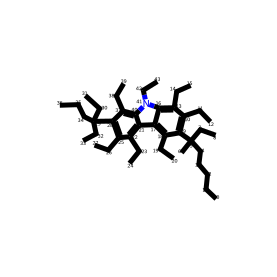 CCCCCC(C)(CC)c1c(CC)c(CC)c2c(c1CC)c1c(CC)c(CC)c(C(CC)(CC)CCC)c(CC)c1n2CC